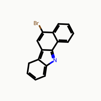 Brc1cc2c(c3ccccc13)=NC1=CC=CCC=21